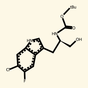 CC(C)(C)OC(=O)N[C@@H](CO)Cc1c[nH]c2cc(Cl)c(F)cc12